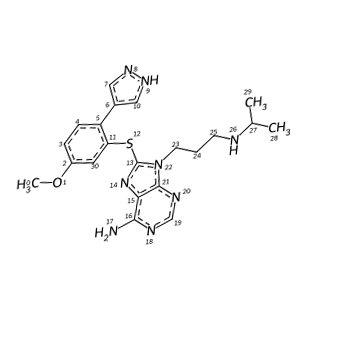 COc1ccc(-c2cn[nH]c2)c(Sc2nc3c(N)ncnc3n2CCCNC(C)C)c1